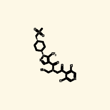 CC(C)(C)CN(CC(=O)c1c(Cl)cncc1Cl)C(=O)c1cnn([C@H]2CC[C@@H](CS(C)(=O)=O)CC2)c1C(F)(F)F